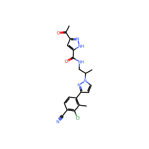 CC(=O)c1cc(C(=O)NCC(C)n2ccc(-c3ccc(C#N)c(Cl)c3C)n2)[nH]n1